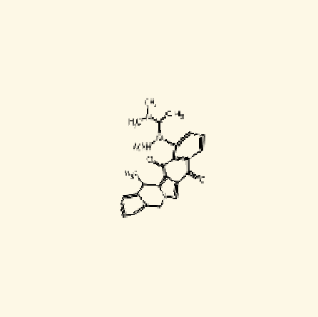 CC(=O)NN(c1cccc2c1C(=O)c1c(cn3c1C(C)c1ccccc1C3)C2=O)C(C)N(C)C